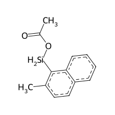 CC(=O)O[SiH2]c1c(C)ccc2ccccc12